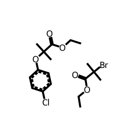 CCOC(=O)C(C)(C)Br.CCOC(=O)C(C)(C)Oc1ccc(Cl)cc1